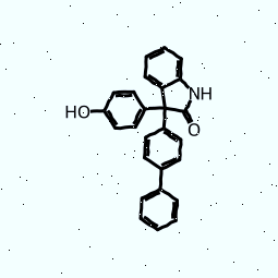 O=C1Nc2ccccc2C1(c1ccc(O)cc1)c1ccc(-c2ccccc2)cc1